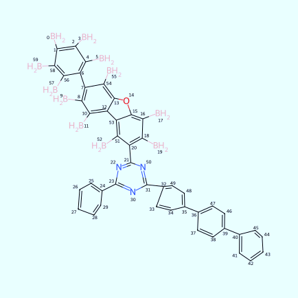 Bc1c(B)c(B)c(-c2c(B)c(B)c3c(oc4c(B)c(B)c(-c5nc(-c6ccccc6)nc(-c6ccc(-c7ccc(-c8ccccc8)cc7)cc6)n5)c(B)c43)c2B)c(B)c1B